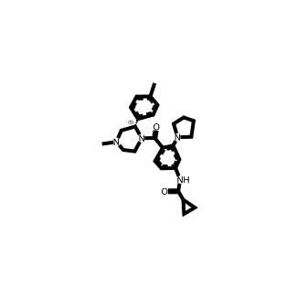 Cc1ccc([C@H]2CN(C)CCN2C(=O)c2ccc(NC(=O)C3CC3)cc2N2CCCC2)cc1